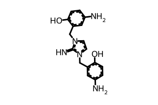 N=c1n(Cc2cc(N)ccc2O)ccn1Cc1cc(N)ccc1O